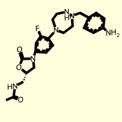 CC(=O)NC[C@H]1CN(c2ccc(N3CCNN(Cc4ccc(N)cc4)CC3)c(F)c2)C(=O)O1